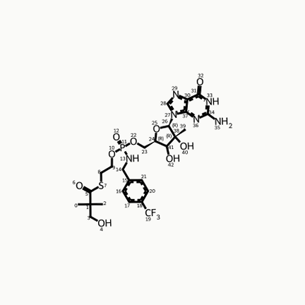 CC(C)(CO)C(=O)SCCOP(=O)(NCc1ccc(C(F)(F)F)cc1)OC[C@H]1O[C@@H](n2cnc3c(=O)[nH]c(N)nc32)[C@](C)(O)C1O